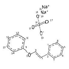 C(=Cc1ccccc1)Oc1ccccc1.O=S(=O)([O-])[O-].[Na+].[Na+]